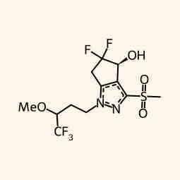 COC(CCn1nc(S(C)(=O)=O)c2c1CC(F)(F)[C@H]2O)C(F)(F)F